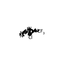 Cc1nccnc1N1CCN(c2nnc3n2-c2ccc(Cl)cc2CN(C2CN(CC(F)(F)F)C2)C3)CC1